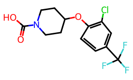 O=C(O)N1CCC(Oc2ccc(C(F)(F)F)cc2Cl)CC1